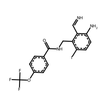 N=Cc1c(N)ccc(I)c1CNC(=O)c1ccc(OC(F)(F)F)cc1